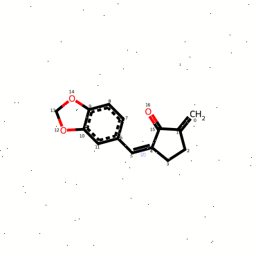 C=C1CC/C(=C/c2ccc3c(c2)OCO3)C1=O